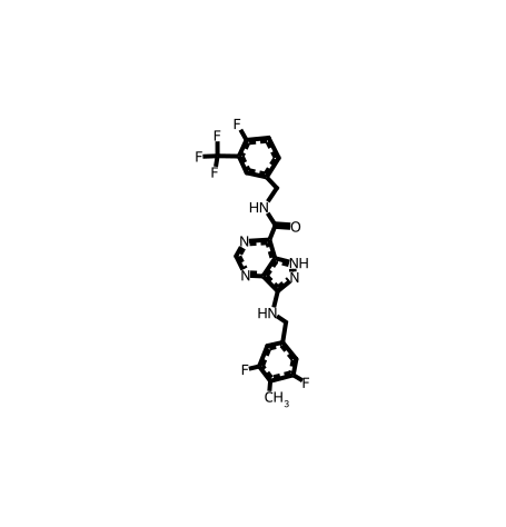 Cc1c(F)cc(CNc2n[nH]c3c(C(=O)NCc4ccc(F)c(C(F)(F)F)c4)ncnc23)cc1F